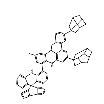 Cc1cc(-c2cccc3c2Nc2ccccc2C32c3ccccc3-c3ccccc32)c2c(c1)C1Cc3ccc(C45CC6CC7CC(C4)C76C5)cc3-c3cc(C45CC6CC7CC(C4)C5C76)cc(c31)B2